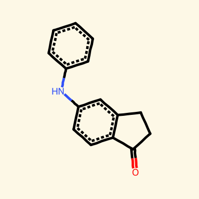 O=C1CCc2cc(Nc3ccccc3)ccc21